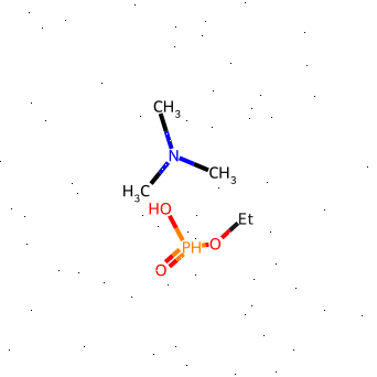 CCO[PH](=O)O.CN(C)C